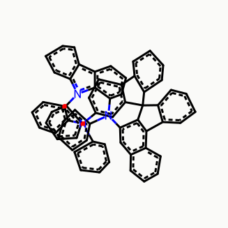 c1ccc(N(c2ccccc2)c2ccc3c(c2)C2(c4ccccc4-3)c3ccccc3-c3c2c(N(c2ccccc2)c2cccc4c5ccccc5n(-c5ccccc5)c24)cc2ccccc32)cc1